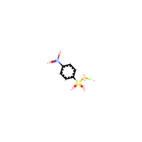 O=[N+]([O-])c1ccc(S(=O)(=O)PF)cc1